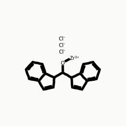 [Cl-].[Cl-].[Cl-].[Zr+3][O]C(C1C=Cc2ccccc21)C1C=Cc2ccccc21